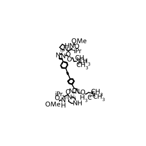 COC(=O)N[C@H](C(=O)N1CCNC[C@H]1C1=NC(c2ccc(C#Cc3ccc(-c4cnc([C@@H]5CCCN5C(=O)[C@@H](NC(=O)OC)C(C)C)n4COCC[Si](C)(C)C)cc3)cc2)CN1COCC[Si](C)(C)C)C(C)C